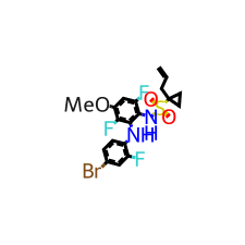 C=CCC1(S(=O)(=O)Nc2c(F)cc(OC)c(F)c2Nc2ccc(Br)cc2F)CC1